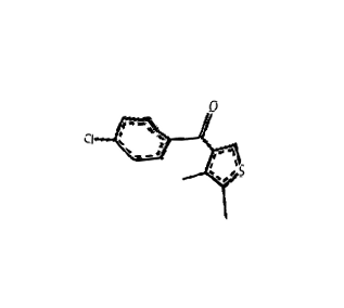 Cc1scc(C(=O)c2ccc(Cl)cc2)c1C